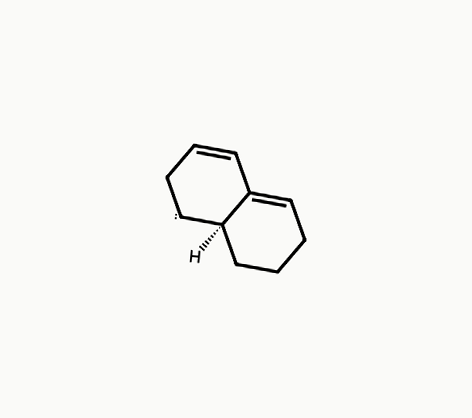 [C]1CC=CC2=CCCC[C@@H]12